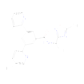 Cc1ccc(-c2cc(C(=O)NC(C)c3noc(C)n3)cc(-c3ncccc3F)c2)nc1